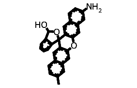 Cc1ccc2cc3c(cc2c1)Oc1cc2cc(N)ccc2cc1C31OC(O)c2ccccc21